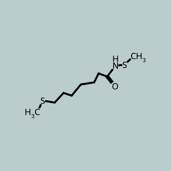 CSCCCCCCC(=O)NSC